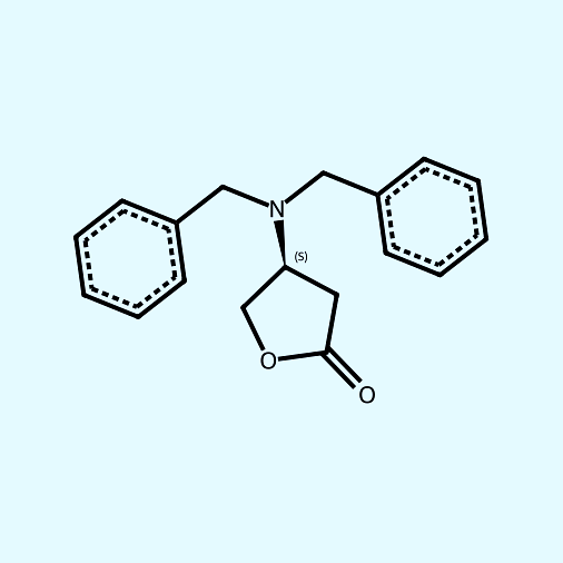 O=C1C[C@H](N(Cc2ccccc2)Cc2ccccc2)CO1